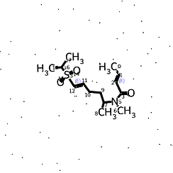 C/C=C/C(=O)N(C)C(C)CC/C=C/S(=O)(=O)C(C)C